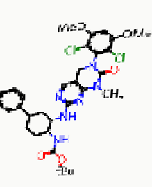 COc1cc(OC)c(Cl)c(N2Cc3cnc(N[C@@H]4CC(c5ccccc5)CC[C@@H]4NC(=O)OC(C)(C)C)nc3N(C)C2=O)c1Cl